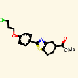 COC(=O)C1CCc2sc(-c3ccc(OCCCCl)cc3)nc2C1